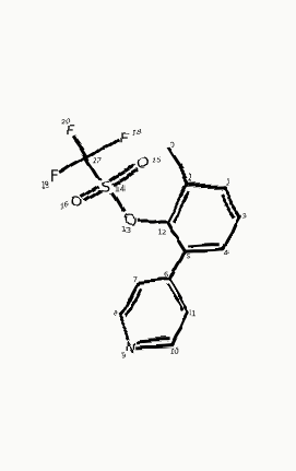 Cc1cccc(-c2ccncc2)c1OS(=O)(=O)C(F)(F)F